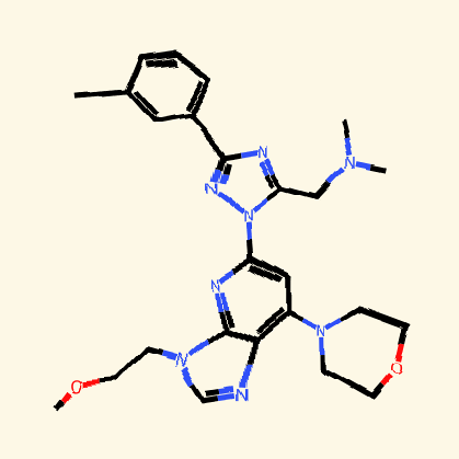 COCCn1cnc2c(N3CCOCC3)cc(-n3nc(-c4cccc(C)c4)nc3CN(C)C)nc21